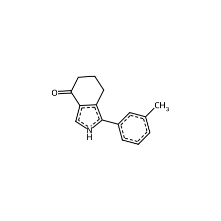 Cc1cccc(-c2[nH]cc3c2CCCC3=O)c1